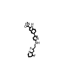 CNC(=O)c1cc2cc(-c3ccc(NCC[C@H](F)Cc4ncccc4F)nn3)ccc2[nH]1